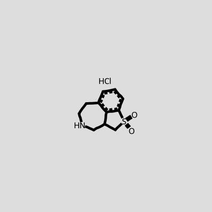 Cl.O=S1(=O)CC2CNCCc3cccc1c32